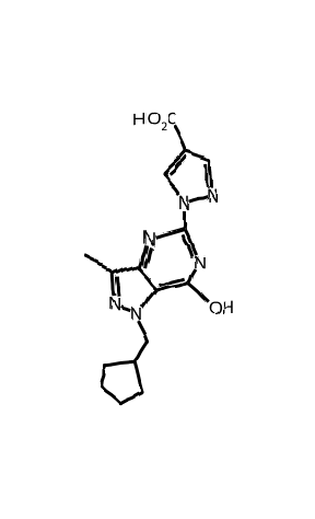 Cc1nn(CC2CCCC2)c2c(O)nc(-n3cc(C(=O)O)cn3)nc12